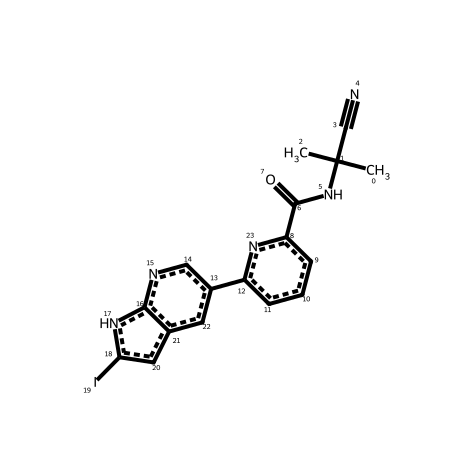 CC(C)(C#N)NC(=O)c1cccc(-c2cnc3[nH]c(I)cc3c2)n1